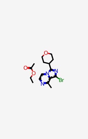 CCOC(C)=O.Cc1nccn2c(C3CCOCC3)nc(Br)c12